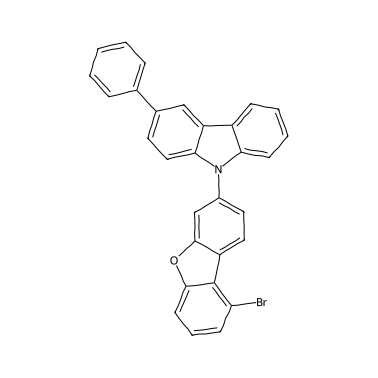 Brc1cccc2oc3cc(-n4c5ccccc5c5cc(-c6ccccc6)ccc54)ccc3c12